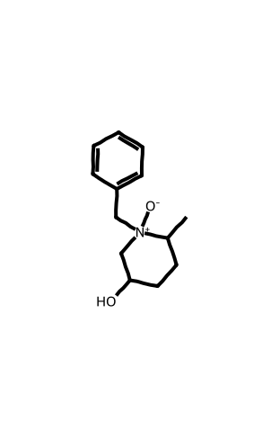 CC1CCC(O)C[N+]1([O-])Cc1ccccc1